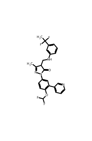 CC1=NN(c2ccc(OC(F)F)c(-c3cccnc3)c2)C(=O)C1CNc1cccc(C(C)(F)F)c1